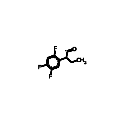 CCC([C]=O)c1cc(F)c(F)cc1F